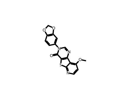 COc1ccnc2sc3c(=O)n(-c4ccc5c(c4)OCO5)cnc3c12